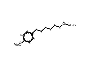 [CH2]CCCCCOCCCCCCc1ccc(OC)cc1